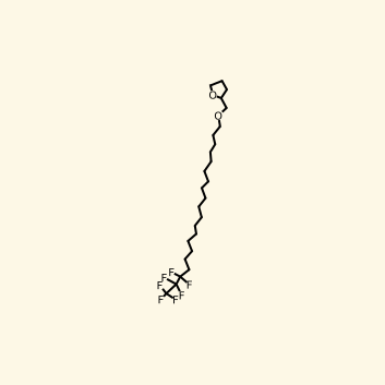 FC(F)(F)C(F)(F)C(F)(F)CCCCCCCCCCCCCCCCCOCC1CCCO1